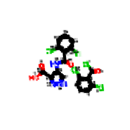 O=C(Cl)c1c(Cl)cccc1Cl.O=C(O)c1n[nH]cc1NC(=O)c1c(Cl)cccc1Cl